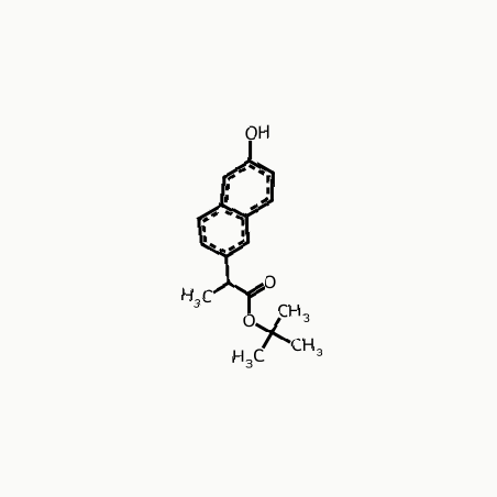 CC(C(=O)OC(C)(C)C)c1ccc2cc(O)ccc2c1